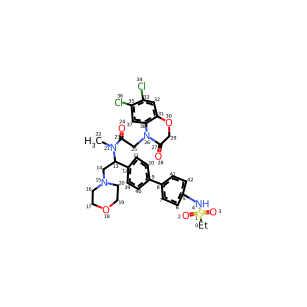 CCS(=O)(=O)Nc1ccc(-c2ccc(C(CN3CCOCC3)N(C)C(=O)CN3C(=O)COc4cc(Cl)c(Cl)cc43)cc2)cc1